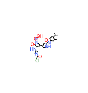 Cc1cc(NC(=O)c2cc(-c3c[nH]c(=O)c(NC4CN(C(=O)CCl)C4)c3)ccn2)ccc1C(C)C.O=CO